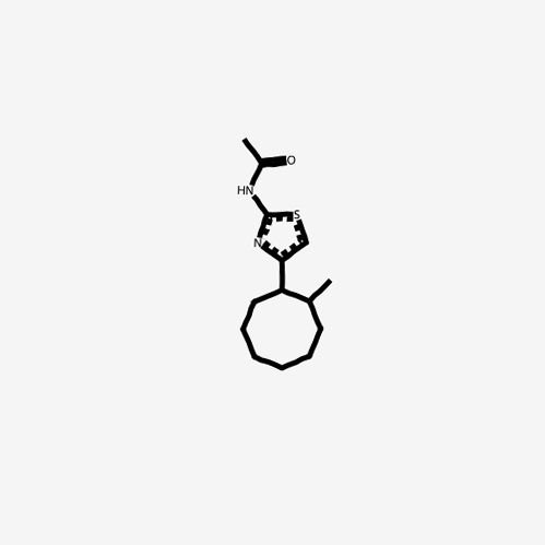 CC(=O)Nc1nc(C2[CH]CCCCCC2C)cs1